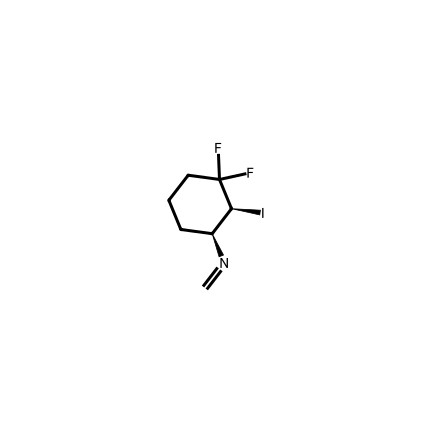 C=N[C@H]1CCCC(F)(F)[C@H]1I